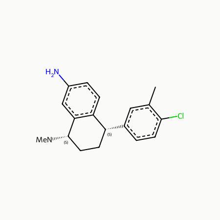 CN[C@H]1CC[C@@H](c2ccc(Cl)c(C)c2)c2ccc(N)cc21